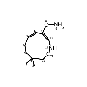 CC1(C)CC/C=C\C(ON)=C/NCC1